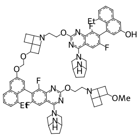 CCc1cccc2cc(OCOC3CC4N(CCOc5nc(N6CC7CCC(C6)N7)c6cc(F)c(-c7cc(O)cc8cccc(CC)c78)c(F)c6n5)C5CCC354)cc(-c3c(F)cc4c(N5CC6CCC(C5)N6)nc(OCCN5C6CCC67C(OC)CC57)nc4c3F)c12